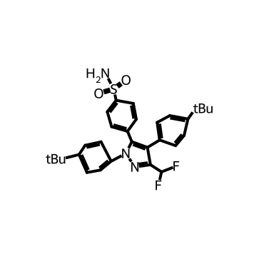 CC(C)(C)c1ccc(-c2c(C(F)F)nn(-c3ccc(C(C)(C)C)cc3)c2-c2ccc(S(N)(=O)=O)cc2)cc1